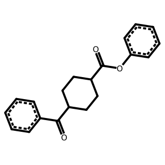 O=C(Oc1ccccc1)C1CCC(C(=O)c2ccccc2)CC1